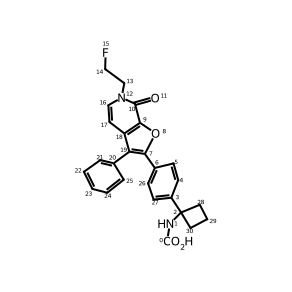 O=C(O)NC1(c2ccc(-c3oc4c(=O)n(CCF)ccc4c3-c3ccccc3)cc2)CCC1